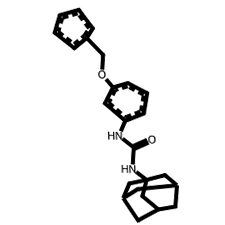 O=C(Nc1cccc(OCc2ccccc2)c1)NC12CC3CC(CC(C3)C1)C2